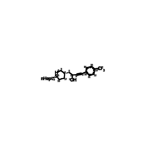 CCCCCCC[Si@H]1CC[C@H](CC(O)C#Cc2ccc(C(F)(F)F)cc2)CC1